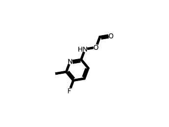 Cc1nc(NOC=O)ccc1F